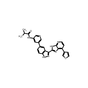 CC(C)C(=O)Nc1cncc(-c2ccc3[nH]nc(-c4nc5c(-c6ccoc6)ccnc5[nH]4)c3c2)c1